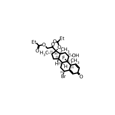 CCC(=O)OCC(=O)[C@@]1(OC(=O)CC)[C@@H](C)C[C@H]2[C@@H]3C[C@H](Br)C4=CC(=O)C=C[C@]4(C)[C@@]3(F)[C@@H](O)C[C@@]21C